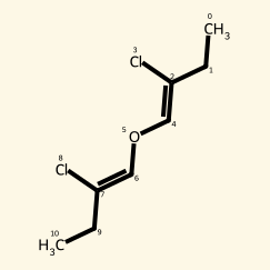 CCC(Cl)=COC=C(Cl)CC